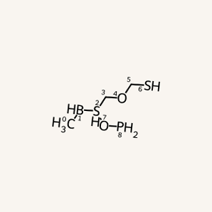 CB[SH](COCS)OP